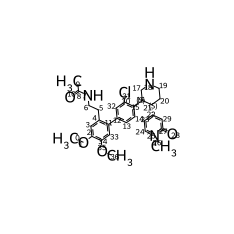 COc1cc(CCNC(C)=O)c(-c2ccc([C@H]3CNCC[C@@H]3c3ccn(C)c(=O)c3)c(Cl)c2)cc1OC